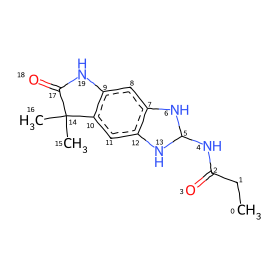 CCC(=O)NC1Nc2cc3c(cc2N1)C(C)(C)C(=O)N3